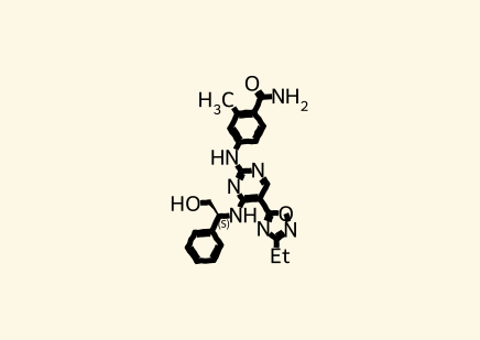 CCc1noc(-c2cnc(Nc3ccc(C(N)=O)c(C)c3)nc2N[C@H](CO)c2ccccc2)n1